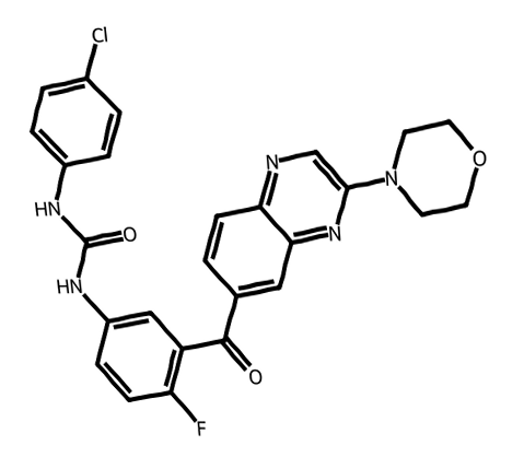 O=C(Nc1ccc(Cl)cc1)Nc1ccc(F)c(C(=O)c2ccc3ncc(N4CCOCC4)nc3c2)c1